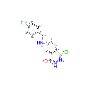 O=c1[nH]nc(Cl)c2ccc(NCc3ccc(Cl)cc3)cc12